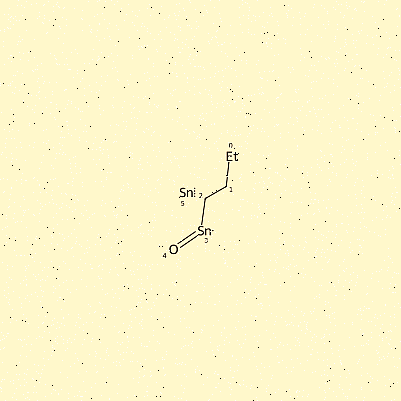 CCC[CH2][Sn]=[O].[Sn]